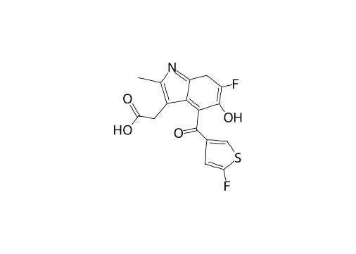 CC1=C(CC(=O)O)C2=C(C(=O)c3csc(F)c3)C(O)=C(F)CC2=N1